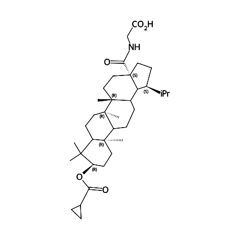 CC(C)[C@@H]1CC[C@]2(C(=O)NCC(=O)O)CC[C@]3(C)C(CCC4[C@@]5(C)CC[C@@H](OC(=O)C6CC6)C(C)(C)C5CC[C@]43C)C12